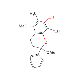 COc1c(C)c(O)c(C)c2c1CCC(OC)(c1ccccc1)O2